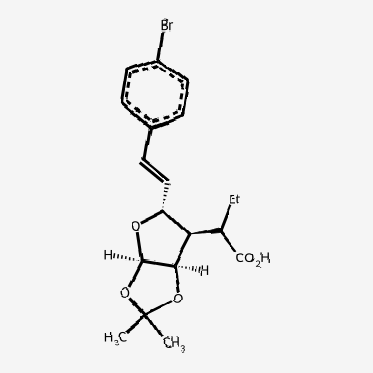 CCC(C(=O)O)[C@H]1[C@H]2OC(C)(C)O[C@H]2O[C@@H]1C=Cc1ccc(Br)cc1